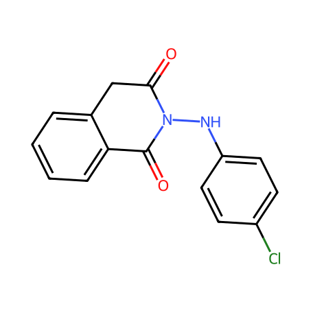 O=C1Cc2ccccc2C(=O)N1Nc1ccc(Cl)cc1